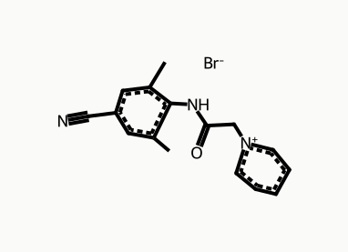 Cc1cc(C#N)cc(C)c1NC(=O)C[n+]1ccccc1.[Br-]